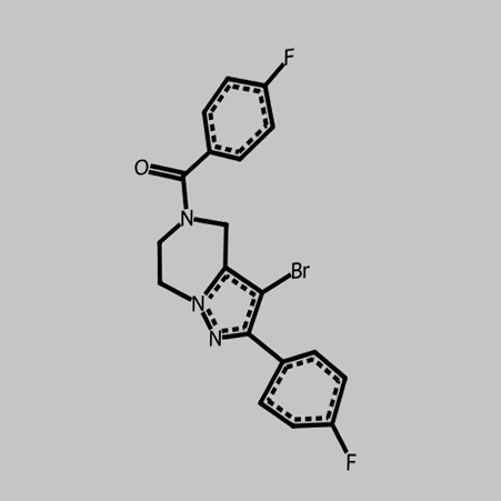 O=C(c1ccc(F)cc1)N1CCn2nc(-c3ccc(F)cc3)c(Br)c2C1